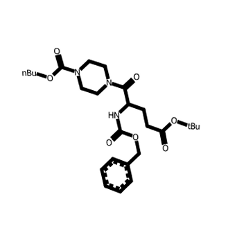 CCCCOC(=O)N1CCN(C(=O)C(CCC(=O)OC(C)(C)C)NC(=O)OCc2ccccc2)CC1